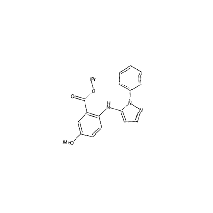 COc1ccc(Nc2ccnn2-c2ccccc2)c(C(=O)OC(C)C)c1